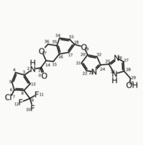 O=C(Nc1ccc(Cl)c(C(F)(F)F)c1)C1Cc2cc(Oc3ccnc(-c4ncc(CO)[nH]4)c3)ccc2CO1